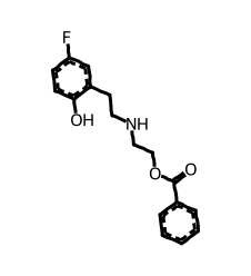 O=C(OCCNCCc1cc(F)ccc1O)c1ccccc1